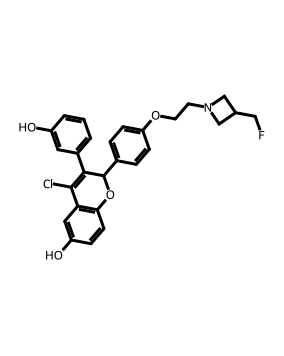 Oc1cccc(C2=C(Cl)c3cc(O)ccc3OC2c2ccc(OCCN3CC(CF)C3)cc2)c1